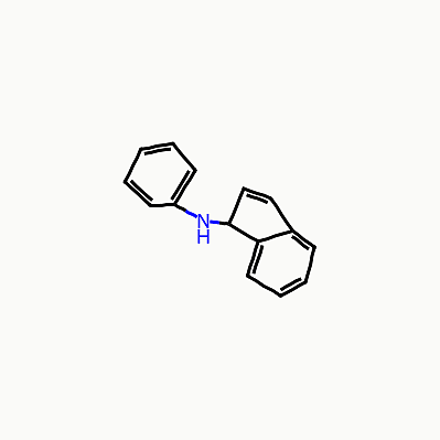 C1=CC(Nc2ccccc2)c2ccccc21